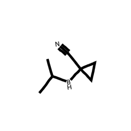 CC(C)BC1(C#N)CC1